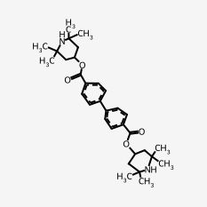 CC1(C)CC(OC(=O)c2ccc(-c3ccc(C(=O)OC4CC(C)(C)NC(C)(C)C4)cc3)cc2)CC(C)(C)N1